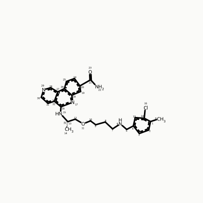 Cc1ccc(CNCCCCOC[C@H](C)Nc2nc3cc(C(N)=O)ccc3c3cnccc23)cc1Cl